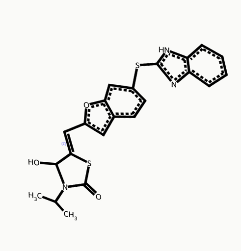 CC(C)N1C(=O)S/C(=C\c2cc3ccc(Sc4nc5ccccc5[nH]4)cc3o2)C1O